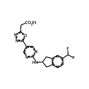 CCOC(=O)Cc1nnc(-c2cnc(NC3Cc4ccc(C(F)F)cc4C3)nc2)o1